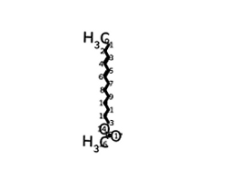 CCCC=CC=CCCCCCCCOC(C)=O